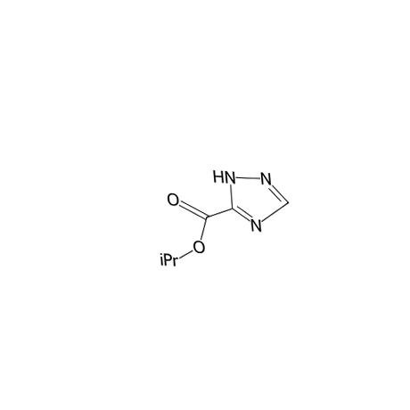 CC(C)OC(=O)c1ncn[nH]1